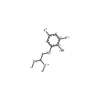 COC(COc1cc(F)cc(F)c1Br)OC